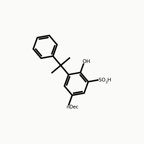 CCCCCCCCCCc1cc(C(C)(C)c2ccccc2)c(O)c(S(=O)(=O)O)c1